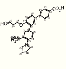 CC(C)(C)[SiH2]c1cc(-c2cc(-c3ccc(C(=O)O)cc3)ccc2OCCCO)ccc1N1CCCC1